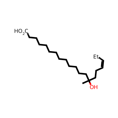 CC/C=C\CCC(C)(O)CCCCCCCCCCCCC(=O)O